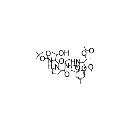 COC(=O)[C@@H](NC(=O)C1(Cc2cccc(C)c2)CCCN1C(=O)C1CCCN1C(=O)[C@@H](NC(=O)OC(C)(C)C)[C@@H](C)O)[C@@H](C)OC(C)=O